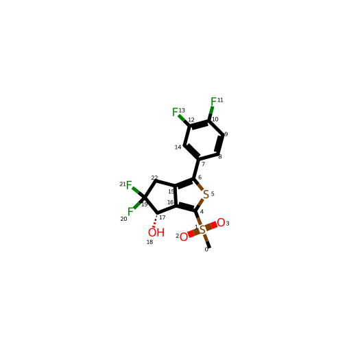 CS(=O)(=O)c1sc(-c2ccc(F)c(F)c2)c2c1[C@H](O)C(F)(F)C2